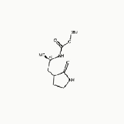 CC(C)(C)OC(=O)N[C@H](C#N)CC1CCNC1=O